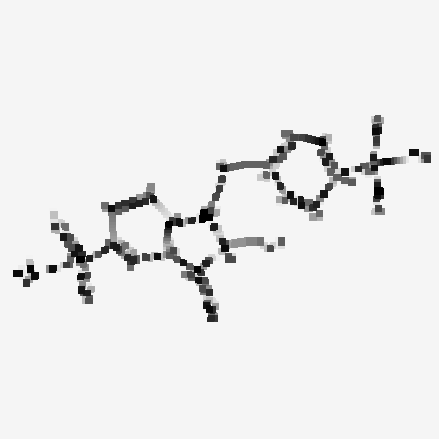 NS(=O)(=O)c1ccc2c(c1)C(=O)C(=O)N2Cc1ccc(C(F)(F)F)cc1